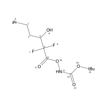 CC(C)CCC(O)C(F)(F)C(=O)ONC(=O)OC(C)(C)C